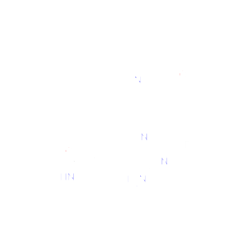 CN(C)C1CCOc2ccc(-c3nc(-c4ccc5c(=O)[nH]ccc5c4)c(N)nc3F)cc21